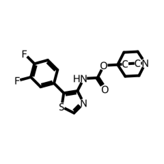 O=C(Nc1ncsc1-c1ccc(F)c(F)c1)OC12CCN(CC1)CC2